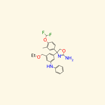 CCOCc1cc(Nc2ccccc2)cc(C2(c3ccc(OC(F)F)c(C)c3)COC(N)=N2)c1